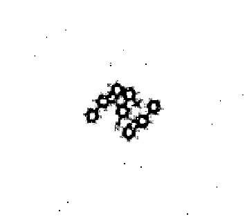 N#Cc1cc(-n2c3ccccc3c3ccc(-c4ccccc4)cc32)c(-c2ccccc2C(F)(F)F)cc1-n1c2ccccc2c2ccc(-c3ccccc3)cc21